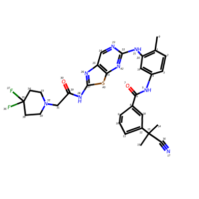 Cc1ccc(NC(=O)c2cccc(C(C)(C)C#N)c2)cc1Nc1ncc2nc(NC(=O)CN3CCC(F)(F)CC3)sc2n1